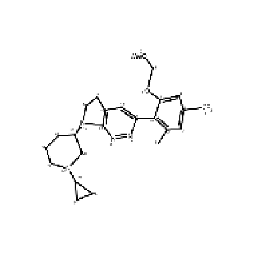 COCOc1cc(C(F)(F)F)cc(C)c1-c1cc2c(nn1)N([C@@H]1CCCN(C3CC3)C1)CC2